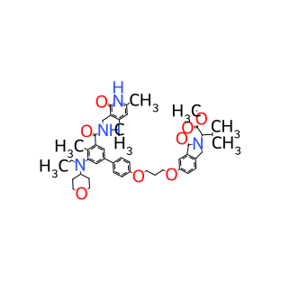 CCN(c1cc(-c2ccc(OCCCOc3ccc4c(c3)C(=O)N(C(C(=O)OC)C(C)C)C4)cc2)cc(C(=O)NCc2c(C)cc(C)[nH]c2=O)c1C)C1CCOCC1